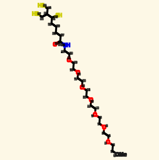 COCCOCCOCCOCCOCCOCCOCCOCCNC(=O)CCCCC(S)C(CS)CS